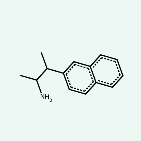 CC(N)C(C)c1ccc2ccccc2c1